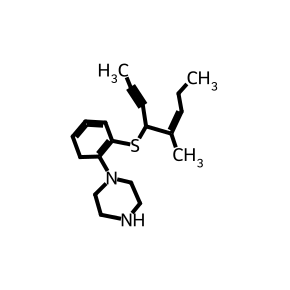 CC#CC(SC1=C(N2CCNCC2)CC=C=C1)/C(C)=C\CC